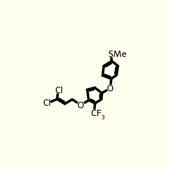 CSc1ccc(Oc2ccc(OCC=C(Cl)Cl)c(C(F)(F)F)c2)cc1